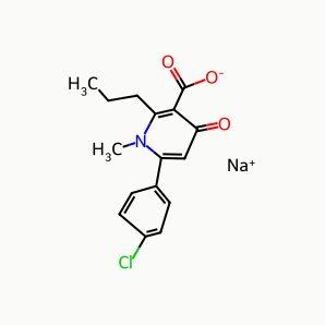 CCCc1c(C(=O)[O-])c(=O)cc(-c2ccc(Cl)cc2)n1C.[Na+]